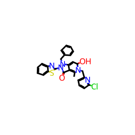 CC1=c2c(n(Cc3ccccc3)n(-c3nc4ccccc4s3)c2=O)=CC(O)N1Cc1cccc(Cl)n1